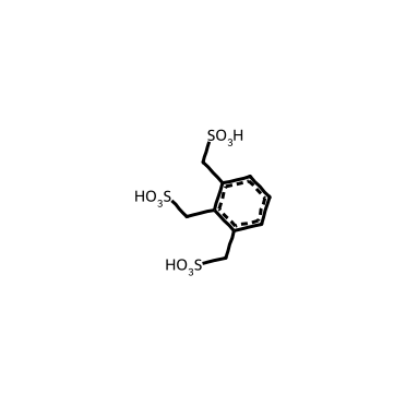 O=S(=O)(O)Cc1cccc(CS(=O)(=O)O)c1CS(=O)(=O)O